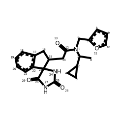 CC(C1CC1)N(Cc1ccco1)C(=O)CC1Cc2ccccc2C12NC(=O)NC2=O